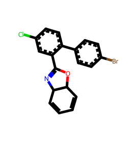 Clc1ccc(-c2ccc(Br)cc2)c(C2=NC3C=CC=CC3O2)c1